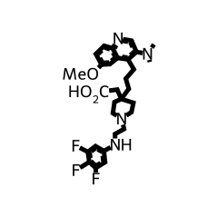 COc1ccc2ncc(N(C)C)c(CCCC3(CC(=O)O)CCN(CCNc4cc(F)c(F)c(F)c4)CC3)c2c1